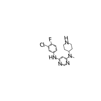 CN(c1cc(Nc2ccc(F)c(Cl)c2)ncn1)C1CCNCC1